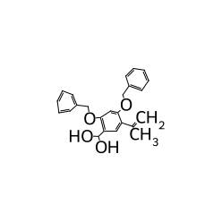 C=C(C)c1cc(C(O)O)c(OCc2ccccc2)cc1OCc1ccccc1